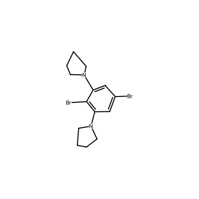 Brc1cc(N2CCCC2)c(Br)c(N2CCCC2)c1